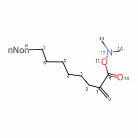 C=C(CCCCCCCCCCCCCCC)C(=O)ON(C)C